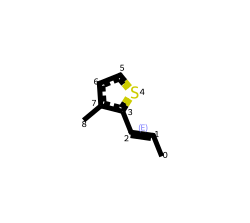 C/C=C/c1sccc1C